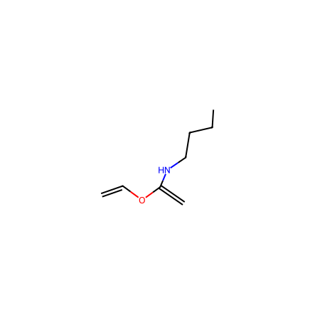 C=COC(=C)NCCCC